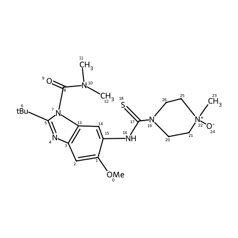 COc1cc2nc(C(C)(C)C)n(C(=O)N(C)C)c2cc1NC(=S)N1CC[N+](C)([O-])CC1